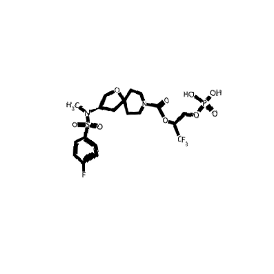 CN([C@H]1COC2(CCN(C(=O)OC(COP(=O)(O)O)C(F)(F)F)CC2)C1)S(=O)(=O)c1ccc(F)cc1